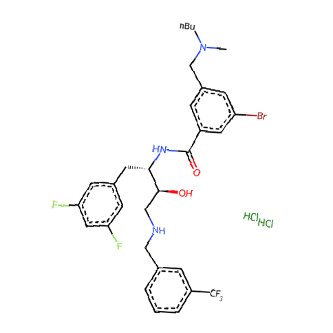 CCCCN(C)Cc1cc(Br)cc(C(=O)N[C@@H](Cc2cc(F)cc(F)c2)[C@@H](O)CNCc2cccc(C(F)(F)F)c2)c1.Cl.Cl